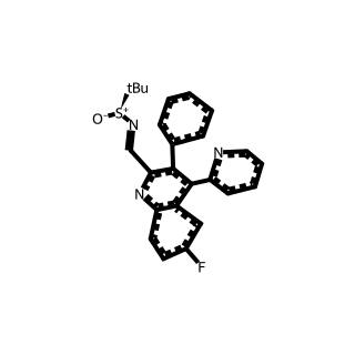 CC(C)(C)[S@+]([O-])/N=C/c1nc2ccc(F)cc2c(-c2ccccn2)c1-c1ccccc1